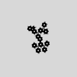 CC1(C)c2ccccc2-c2ccc(N(c3ccc4cc(-c5cc(N(c6ccccc6)c6ccccc6)cc(N(c6ccccc6)c6ccccc6)c5)ccc4c3)c3ccc4c(c3)c3ccccc3n4-c3ccccc3)cc21